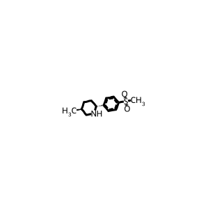 C[C@H]1CC[C@H](c2ccc(S(C)(=O)=O)cc2)NC1